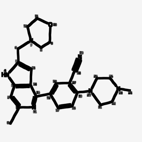 Cc1cc2[nH]c(CN3CCOCC3)cc2c(-c2ccc(N3CCN(C)CC3)c(C#N)c2)n1